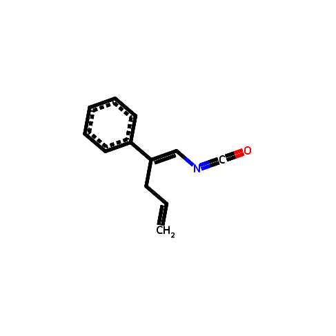 C=CCC(=CN=C=O)c1ccccc1